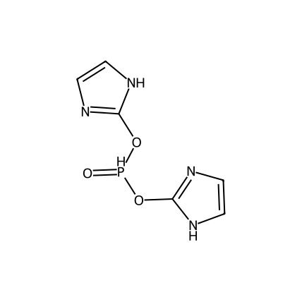 O=[PH](Oc1ncc[nH]1)Oc1ncc[nH]1